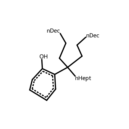 CCCCCCCCCCCCC(CCCCCCC)(CCCCCCCCCCCC)c1ccccc1O